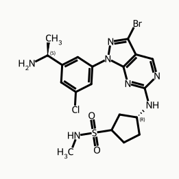 CNS(=O)(=O)C1CC[C@@H](Nc2ncc3c(Br)nn(-c4cc(Cl)cc([C@H](C)N)c4)c3n2)C1